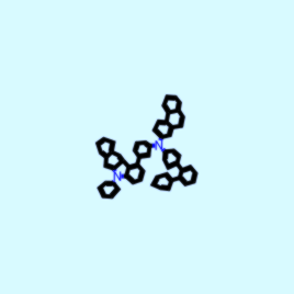 c1ccc(-c2ccccc2-c2ccc(N(c3cccc(-c4cccc5c4c4cc6ccccc6cc4n5-c4ccccc4)c3)c3ccc4c(ccc5ccccc54)c3)cc2)cc1